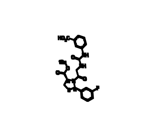 CC(C)(C)OC(=O)[C@@H]1CS[C@H](c2cccc(F)c2)N1C(=O)CNC(=O)Nc1cccc(C(=O)O)c1